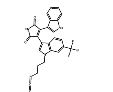 O=C1NC(=O)C(c2cn(CCCN=C=S)c3cc(C(F)(F)F)ccc23)=C1c1c[nH]c2ccccc12